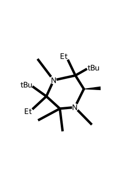 CCC1(C(C)(C)C)[C@@H](C)N(C)C(C)(C)C(CC)(C(C)(C)C)N1C